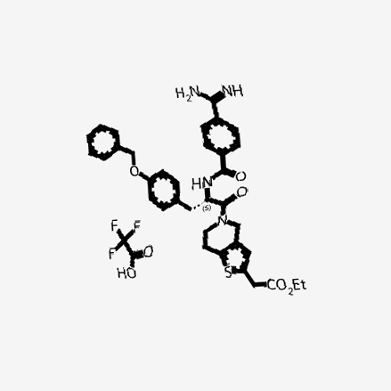 CCOC(=O)Cc1cc2c(s1)CCN(C(=O)[C@H](Cc1ccc(OCc3ccccc3)cc1)NC(=O)c1ccc(C(=N)N)cc1)C2.O=C(O)C(F)(F)F